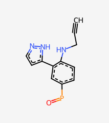 C#CCNc1ccc(P=O)cc1-c1ccn[nH]1